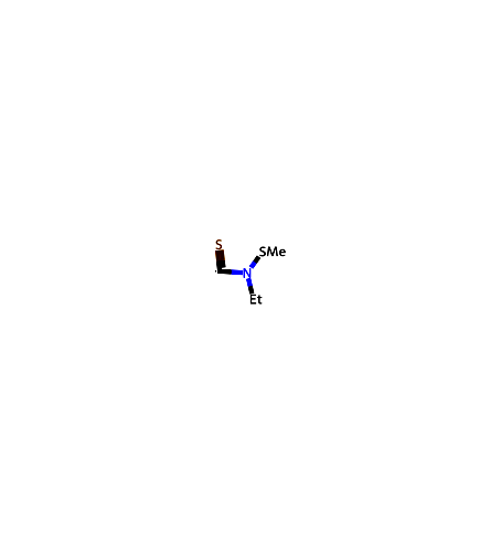 CCN([C]=S)SC